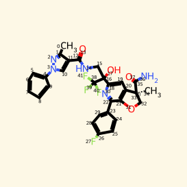 Cc1nn(-c2ccccc2)cc1C(=O)NCC(O)(c1cc2c(c(-c3ccc(F)cc3)n1)OC[C@]2(C)C(N)=O)C(F)(F)F